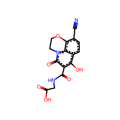 N#Cc1ccc2c(O)c(C(=O)NCC(=O)O)c(=O)n3c2c1OCC3